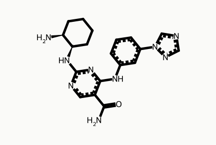 NC(=O)c1cnc(N[C@@H]2CCCC[C@@H]2N)nc1Nc1cccc(-n2cncn2)c1